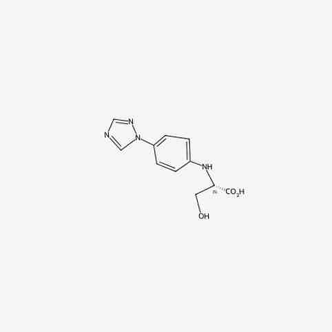 O=C(O)[C@H](CO)Nc1ccc(-n2cncn2)cc1